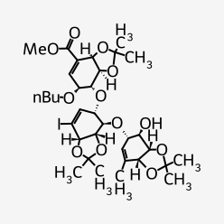 CCCCO[C@H]1C=C(C(=O)OC)[C@H]2OC(C)(C)O[C@H]2[C@@H]1O[C@H]1C=C(I)[C@H]2OC(C)(C)O[C@H]2[C@@H]1O[C@H]1C=C(C)[C@H]2OC(C)(C)O[C@H]2[C@@H]1O